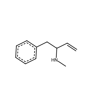 C=C[C](Cc1ccccc1)NC